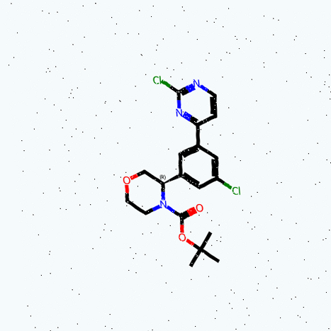 CC(C)(C)OC(=O)N1CCOC[C@H]1c1cc(Cl)cc(-c2ccnc(Cl)n2)c1